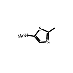 C[N]c1cnc(C)s1